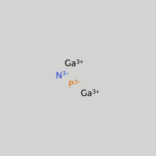 [Ga+3].[Ga+3].[N-3].[P-3]